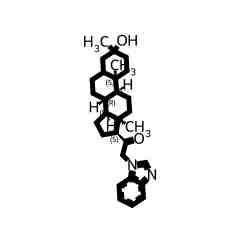 CC1(O)CC[C@@]2(C)C(CC[C@H]3[C@@H]4CC[C@H](C(=O)Cn5cnc6ccccc65)[C@@]4(C)CC[C@@H]32)C1